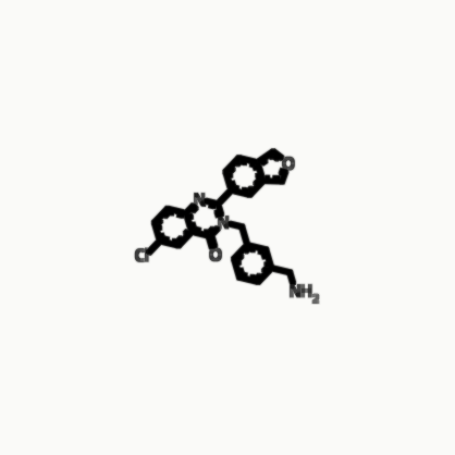 NCc1cccc(Cn2c(-c3ccc4cocc4c3)nc3ccc(Cl)cc3c2=O)c1